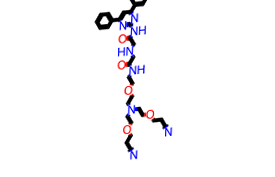 N#CCCOCCN(CCOCCC#N)CCOCCNC(=O)CNCC(=O)Nc1nc(-c2ccccc2)cc(-c2ccccc2)n1